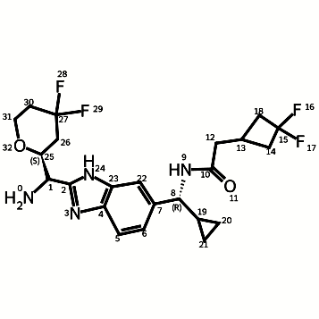 NC(c1nc2ccc([C@H](NC(=O)CC3CC(F)(F)C3)C3CC3)cc2[nH]1)[C@@H]1CC(F)(F)CCO1